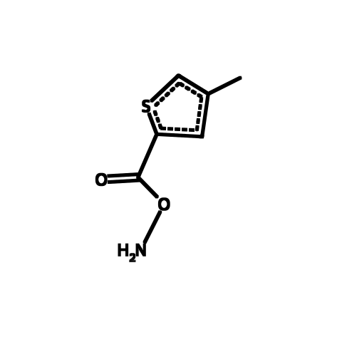 Cc1csc(C(=O)ON)c1